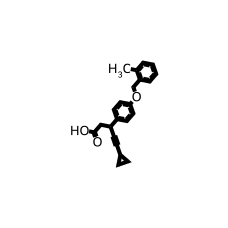 Cc1ccccc1COc1ccc(C(C#CC2CC2)CC(=O)O)cc1